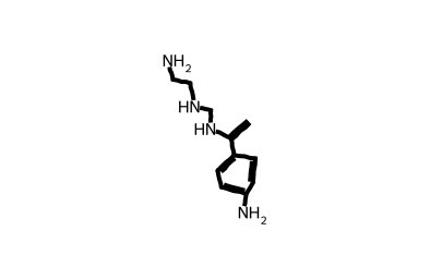 C=C(NCNCCN)c1ccc(N)cc1